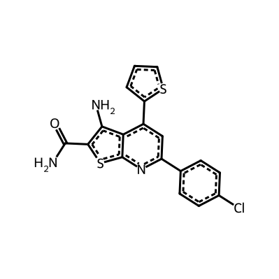 NC(=O)c1sc2nc(-c3ccc(Cl)cc3)cc(-c3cccs3)c2c1N